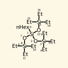 CCCCCC[Si](O[Si](CC)(CC)CC)(O[Si](CC)(CC)CC)O[Si](CC)(CC)CC